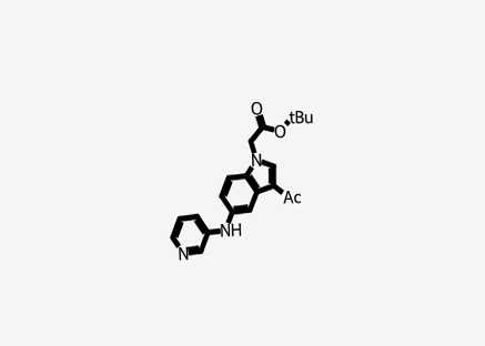 CC(=O)c1cn(CC(=O)OC(C)(C)C)c2ccc(Nc3cccnc3)cc12